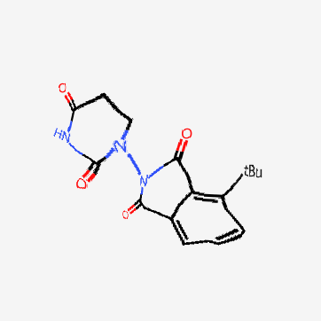 CC(C)(C)c1cccc2c1C(=O)N(N1CCC(=O)NC1=O)C2=O